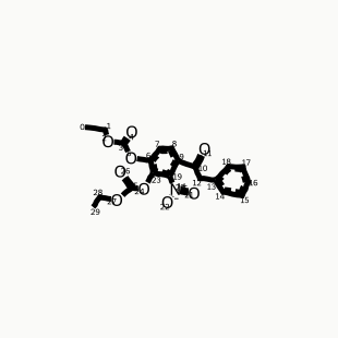 CCOC(=O)Oc1ccc(C(=O)Cc2ccccc2)c([N+](=O)[O-])c1OC(=O)OCC